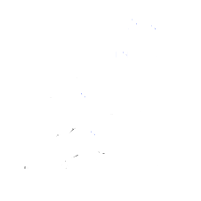 CN(N)/C(=C(\N)COc1ccc(Cl)c2c1[C@@H](CN1CC3(CC3)CC1=O)N(C(=O)[C@@H]1CC[C@@H](O)C[C@]1(C)C(=O)O)CC2)C(F)F